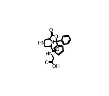 O=C(O)CNC(=O)C1CNCC2C(=O)OC(c3ccccc3)(c3ccccc3)N12